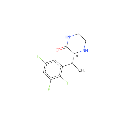 CC(c1cc(F)cc(F)c1F)[C@H]1NCCNC1=O